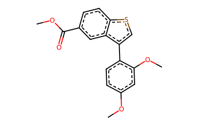 COC(=O)c1ccc2scc(-c3ccc(OC)cc3OC)c2c1